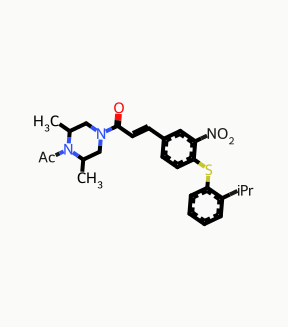 CC(=O)N1C(C)CN(C(=O)C=Cc2ccc(Sc3ccccc3C(C)C)c([N+](=O)[O-])c2)CC1C